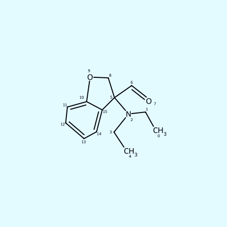 CCN(CC)C1(C=O)COc2ccccc21